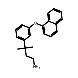 CC(C)(CCN)c1cccc(Oc2cccc3ccccc23)c1